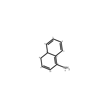 NC1=C2C=CC=CC2CC=C1